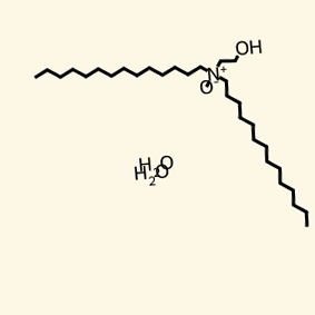 CCCCCCCCCCCCCC[N+]([O-])(CCO)CCCCCCCCCCCCCC.O.O